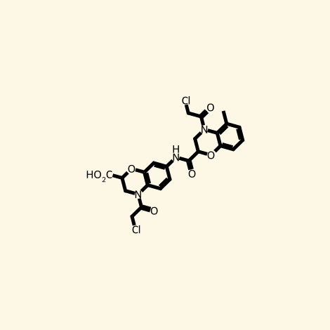 Cc1cccc2c1N(C(=O)CCl)CC(C(=O)Nc1ccc3c(c1)OC(C(=O)O)CN3C(=O)CCl)O2